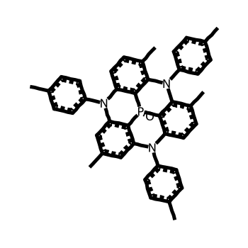 Cc1ccc(N2c3cc(C)cc4c3P3(=O)c5c2ccc(C)c5N(c2ccc(C)cc2)c2c(C)ccc(c23)N4c2ccc(C)cc2)cc1